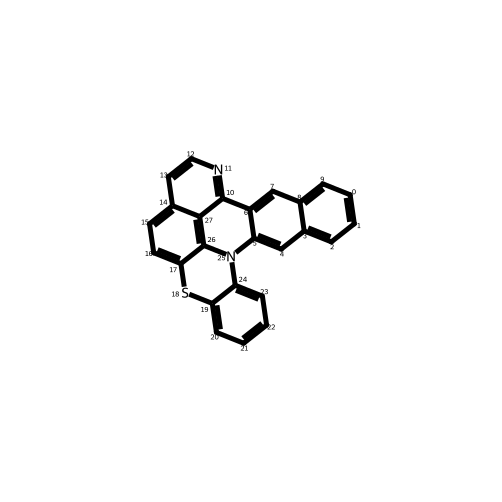 c1ccc2cc3c(cc2c1)c1nccc2ccc4sc5ccccc5n3-c4c21